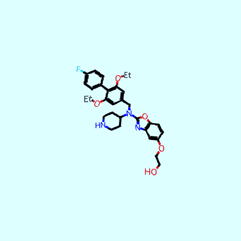 CCOc1cc(CN(c2nc3cc(OCCO)ccc3o2)C2CCNCC2)cc(OCC)c1-c1ccc(F)cc1